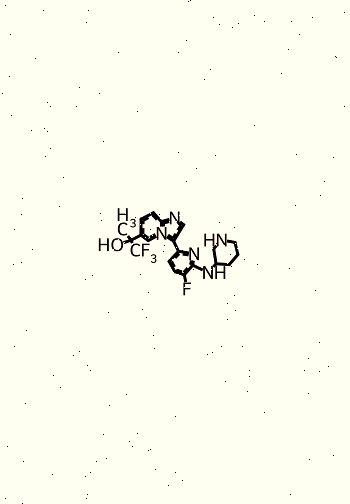 CC(O)(c1ccc2ncc(-c3ccc(F)c(NC4CCCNC4)n3)n2c1)C(F)(F)F